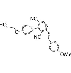 COc1ccc(CSc2ncc(C#N)c(-c3ccc(OCCO)cc3)c2C#N)cc1